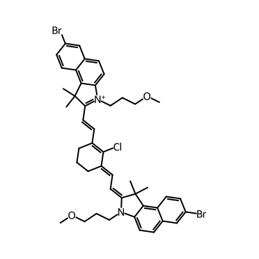 COCCCN1/C(=C/C=C2\CCCC(/C=C/C3=[N+](CCCOC)c4ccc5cc(Br)ccc5c4C3(C)C)=C2Cl)C(C)(C)c2c1ccc1cc(Br)ccc21